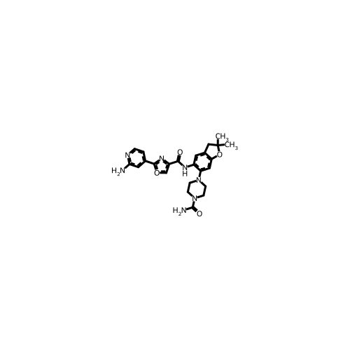 CC1(C)Cc2cc(NC(=O)c3coc(-c4ccnc(N)c4)n3)c(N3CCN(C(N)=O)CC3)cc2O1